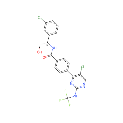 O=C(N[C@H](CO)c1cccc(Cl)c1)c1ccc(-c2nc(NC(F)(F)F)ncc2Cl)cc1